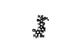 Cc1cc(Cl)cc(-c2ncnn3cc(CN4C(=O)C5C(C4=O)C5(C)C)cc23)c1CO